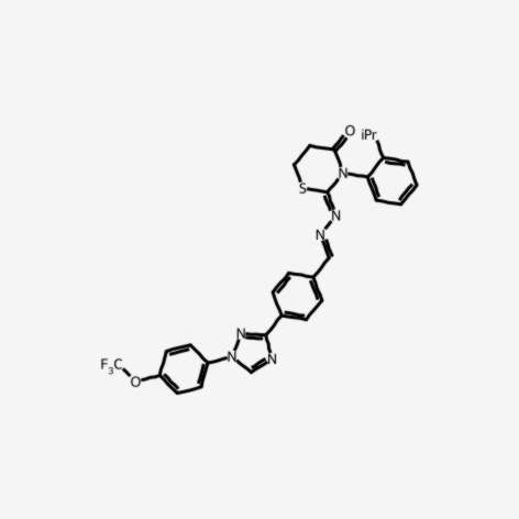 CC(C)c1ccccc1N1C(=O)CCS/C1=N\N=C\c1ccc(-c2ncn(-c3ccc(OC(F)(F)F)cc3)n2)cc1